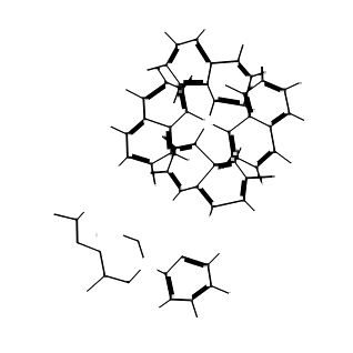 CCCC(C)C[NH+](CC(C)CCC(CC)CCC)c1cc(F)c(F)c(C(F)(F)F)c1F.CCc1c(F)c(F)c(F)c2c(F)c(F)c(F)c([B-](c3c(F)c(F)c(F)c4c(F)c(F)c(F)c(CC)c34)(c3c(F)c(F)c(F)c4c(F)c(F)c(F)c(CC)c34)c3c(F)c(F)c(F)c4c(F)c(F)c(F)c(CC)c34)c12